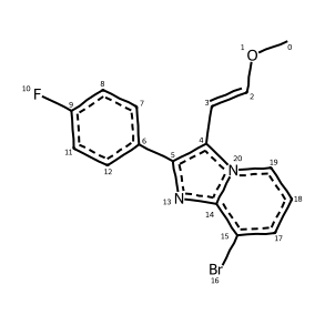 CO/C=C/c1c(-c2ccc(F)cc2)nc2c(Br)cccn12